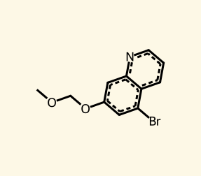 COCOc1cc(Br)c2cccnc2c1